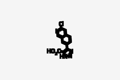 O=C(O)c1[nH]nnc1-c1ccc2cc(Cl)ncc2c1